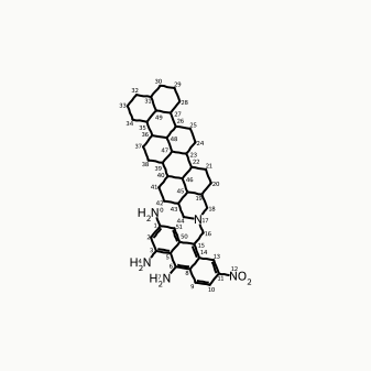 Nc1cc(N)c2c(N)c3ccc([N+](=O)[O-])cc3c(CN3CC4CCC5C6CCC7C8CCCC9CCCC(C%10CCC(C%11CCC(C3)C4C5%11)C6C7%10)C98)c2c1